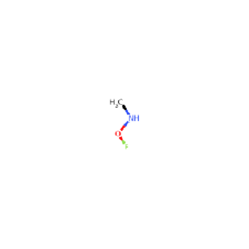 CNOF